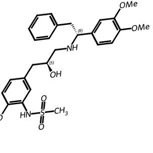 COc1ccc([C@@H](Cc2ccccc2)NC[C@@H](O)Cc2ccc(O)c(NS(C)(=O)=O)c2)cc1OC